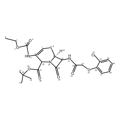 CCOC(=O)NC1=CS[C@H]2C(NC(=O)COc3ccccc3Cl)C(=O)N2C1C(=O)OC(C)(C)C